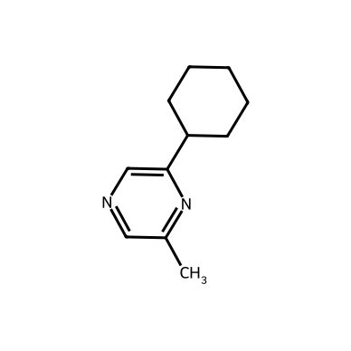 Cc1cncc(C2CCCCC2)n1